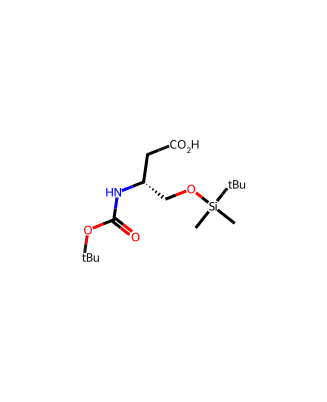 CC(C)(C)OC(=O)N[C@@H](CO[Si](C)(C)C(C)(C)C)CC(=O)O